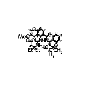 CCC1(CC)CC(=O)N([C@H]2c3cc(C(=O)N[C@@H]4c5ccccc5OC(C)(C)[C@H]4O)ccc3OC[C@@H]2OC)C(=N)N1